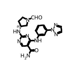 NC(=O)c1cnc(N[C@@H]2CCN(C=O)C2)nc1Nc1cccc(-n2nccn2)c1